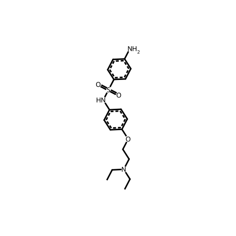 CCN(CC)CCOc1ccc(NS(=O)(=O)c2ccc(N)cc2)cc1